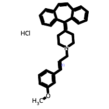 COc1cccc(/C=C/CN2CCC(=C3c4ccccc4C=Cc4ccccc43)CC2)c1.Cl